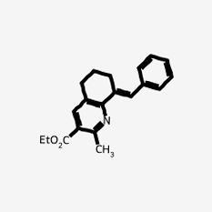 CCOC(=O)c1cc2c(nc1C)C(=Cc1ccccc1)CCC2